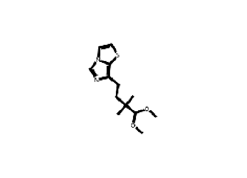 COC(OC)C(C)(C)CCc1ncn2ccsc12